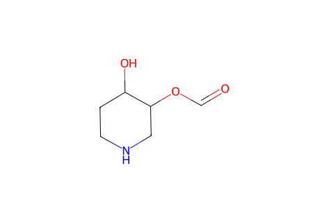 O=COC1CNCCC1O